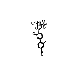 Cc1cc(C#N)ccc1-c1ccn(CC[C@](C)(C(=O)NO)S(C)(=O)=O)c(=O)c1